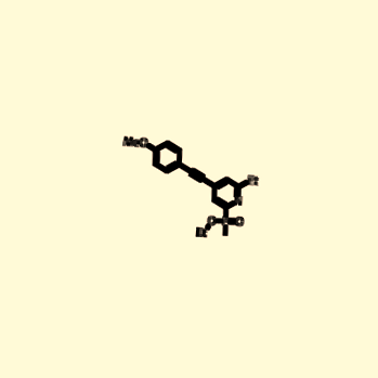 CCOP(C)(=O)c1cc(C#Cc2ccc(OC)cc2)cc(CC)n1